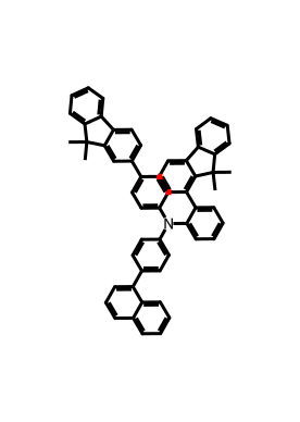 CC1(C)c2ccccc2-c2ccc(-c3ccc(N(c4ccc(-c5cccc6ccccc56)cc4)c4ccccc4-c4cccc5c4C(C)(C)c4ccccc4-5)cc3)cc21